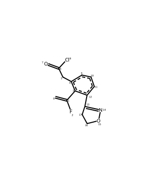 C=C(F)c1c(CC(=O)Cl)cccc1C1=NOCC1